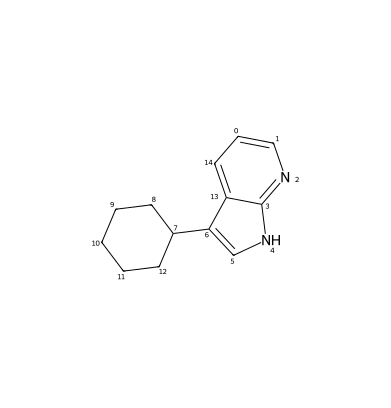 c1cnc2[nH]cc(C3CCCCC3)c2c1